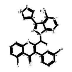 CC(c1oc2cccc(F)c2c(=O)c1-c1cccc(F)c1)n1nc(-c2cn[nH]c2)c2c(N)ncnc21